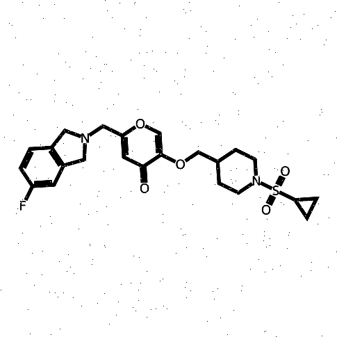 O=c1cc(CN2Cc3ccc(F)cc3C2)occ1OCC1CCN(S(=O)(=O)C2CC2)CC1